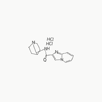 Cl.Cl.O=C(NC1CN2CCC1CC2)c1cn2ccccc2n1